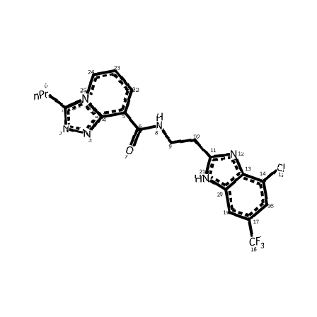 CCCc1nnc2c(C(=O)NCCc3nc4c(Cl)cc(C(F)(F)F)cc4[nH]3)cccn12